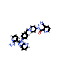 N#Cc1cccnc1C(=O)NC1CCN(Cc2ccc(-n3c(-c4cccnc4N)nc4cccnc43)cc2)CC1